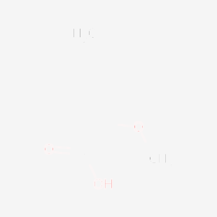 C=CCC(OC)C(=O)O